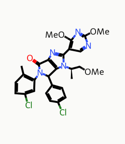 COC[C@@H](C)n1c(-c2cnc(OC)nc2OC)nc2c1C(c1ccc(Cl)cc1)N(c1cc(Cl)ccc1C)C2=O